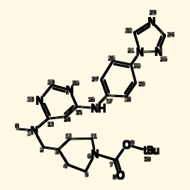 CN(CC1CCN(C(=O)OC(C)(C)C)CC1)c1cc(Nc2ccc(-n3cncn3)cc2)ncn1